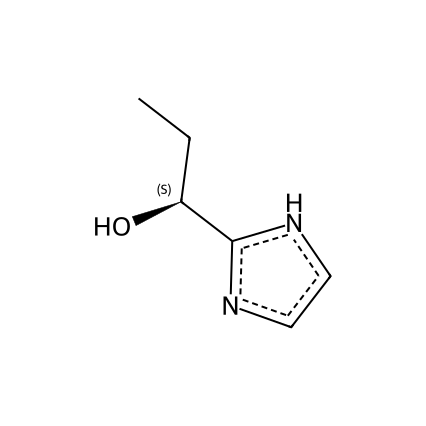 CC[C@H](O)c1ncc[nH]1